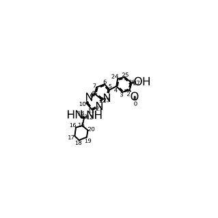 COc1cc(-c2ccc3ncc(NC(=N)C4CCCCC4)nc3n2)ccc1O